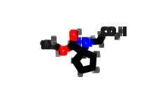 CC(C)(C)OC(=O)C1(NCC(=O)O)CCCC1